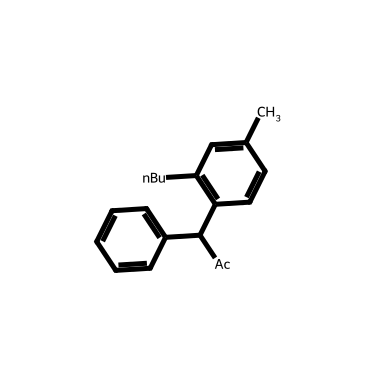 CCCCc1cc(C)ccc1C(C(C)=O)c1ccccc1